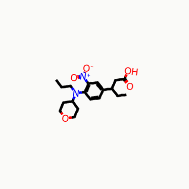 CCCN(c1ccc(C(CC)CC(=O)O)cc1[N+](=O)[O-])C1CCOCC1